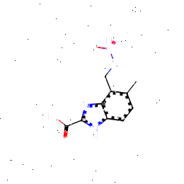 Cc1ccc2[nH]c(C(=O)O)nc2c1CN[PH](=O)O